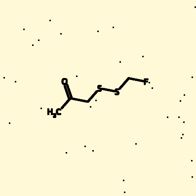 CC(=O)CSSCF